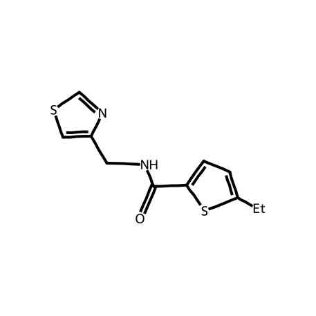 CCc1ccc(C(=O)NCc2cscn2)s1